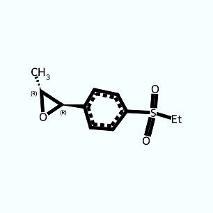 CCS(=O)(=O)c1ccc([C@H]2O[C@@H]2C)cc1